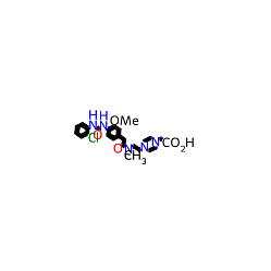 COc1cc(CC(=O)N(C)CCN2CCN(CC(=O)O)CC2)ccc1NC(=O)Nc1ccccc1Cl